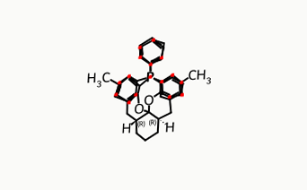 Cc1cc2c(c(P(c3ccccc3)c3ccccc3)c1)OC13Oc4c(cc(C)cc4P(c4ccccc4)c4ccccc4)C[C@H]1CCC[C@@H]3C2